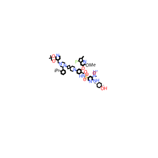 C=C1C=C(F)c2cc(Oc3cc(N4CCC5(CC4)CC(N4CCN(Cc6ccnc7c6OCC(C)(C)O7)CC4c4ccccc4C(C)C)C5)ccc3C(=O)NS(=O)(=O)c3cnc(NC[C@H]4CC[C@](C)(O)CC4)c([NH+](C)[O-])c3)c(OC)nc21